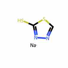 Sc1nncs1.[Na]